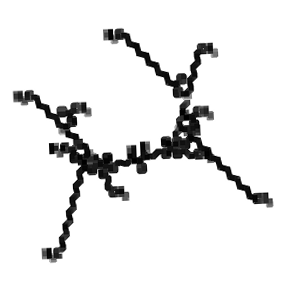 C=CCOP(=O)(OCCNC(=O)NCCOP(=O)(OCC=C)OC[C@@H](CN(CC[C@@H](CCCCCCC)OC(=O)CCCCCCCCCCC)C(C)=O)NC(=O)CCCCCCCCCCCCC)OC[C@@H](CN(CC[C@@H](CCCCCCC)OC(C)=O)C(C)=O)NC(=O)CCCCCCCCCCCCC